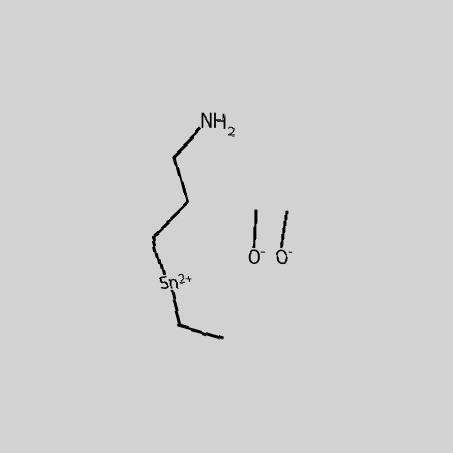 C[CH2][Sn+2][CH2]CCN.C[O-].C[O-]